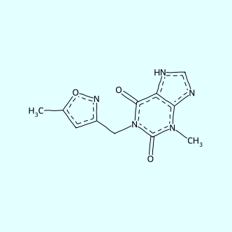 Cc1cc(Cn2c(=O)c3[nH]cnc3n(C)c2=O)no1